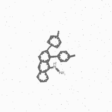 Cc1ccc(-c2ccc3cc4ccccc4c(NN)c3c2-c2ccc(C)cc2)cc1